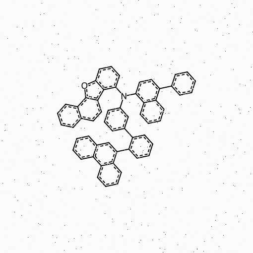 c1ccc(-c2ccc(N(c3cccc(-c4ccccc4-c4cc5ccccc5c5ccccc45)c3)c3cccc4oc5c6ccccc6ccc5c34)c3ccccc23)cc1